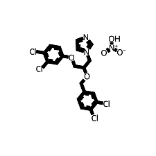 Clc1ccc(COC(COc2ccc(Cl)c(Cl)c2)Cn2ccnc2)cc1Cl.O=[N+]([O-])O